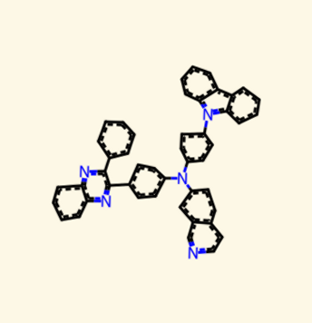 c1ccc(-c2nc3ccccc3nc2-c2ccc(N(c3ccc(-n4c5ccccc5c5ccccc54)cc3)c3ccc4ccncc4c3)cc2)cc1